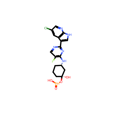 O=[PH](O)O[C@@]1(O)CCC[C@H](Nc2nc(-c3c[nH]c4ncc(Cl)cc34)ncc2F)C1